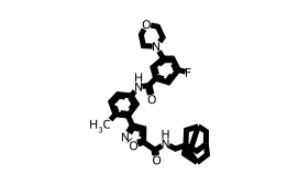 Cc1ccc(NC(=O)c2cc(F)cc(N3CCOCC3)c2)cc1-c1cc(C(=O)NCC23CC4CC(CC(C4)C2)C3)on1